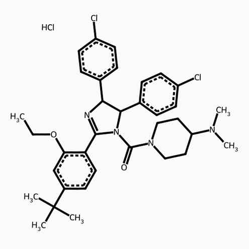 CCOc1cc(C(C)(C)C)ccc1C1=NC(c2ccc(Cl)cc2)C(c2ccc(Cl)cc2)N1C(=O)N1CCC(N(C)C)CC1.Cl